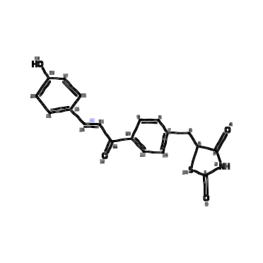 O=C1NC(=O)C(Cc2ccc(C(=O)/C=C/c3ccc(O)cc3)cc2)S1